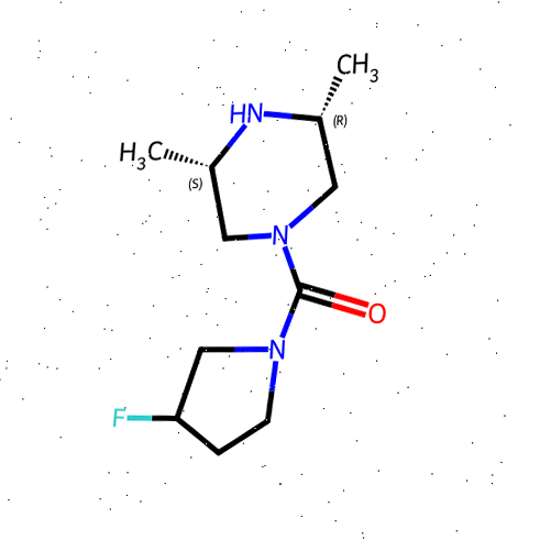 C[C@@H]1CN(C(=O)N2CCC(F)C2)C[C@H](C)N1